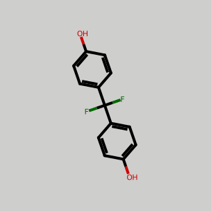 Oc1ccc(C(F)(F)c2ccc(O)cc2)cc1